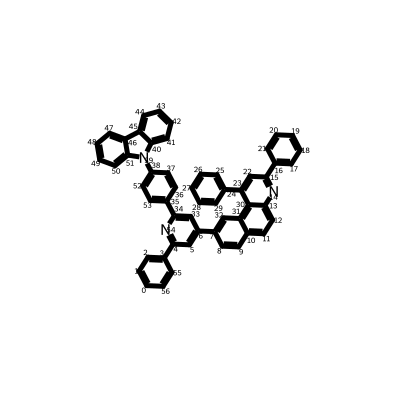 c1ccc(-c2cc(-c3ccc4ccc5nc(-c6ccccc6)cc(-c6ccccc6)c5c4c3)cc(-c3ccc(-n4c5ccccc5c5ccccc54)cc3)n2)cc1